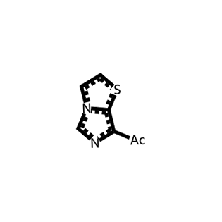 CC(=O)c1ncn2ccsc12